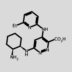 CCc1cccc(Nc2cc(N[C@@H]3CCCC[C@@H]3N)nnc2C(=O)O)n1